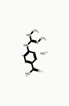 CN=C(NC)Nc1ccc(C(=O)O)cc1.Cl